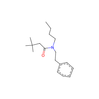 CCCCN(CCc1ccccc1)C(=O)CC(C)(C)C